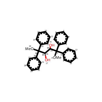 COC(c1ccccc1)(c1ccccc1)[C@H](O)[C@@H](O)C(OC)(c1ccccc1)c1ccccc1